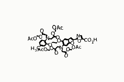 CC(=O)OCOC(=O)CN(CC(=O)OCOC(C)=O)c1ccc(C)cc1OCCOc1cc2cc(-c3ncc(C(=O)O)o3)oc2cc1N(CC(=O)OCOC(C)=O)CC(=O)OCOC(C)=O